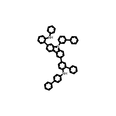 c1ccc(Nc2ccccc2-c2ccc3c4cc(-c5ccc(Nc6ccc(-c7ccccc7)cc6)c(-c6ccccc6)c5)ccc4n(-c4cccc(-c5ccccc5)c4)c3c2)cc1